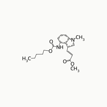 CCCCCOC(=O)Nc1cccc2c1c(/C=C/C(=O)OC)cn2C